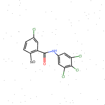 O=Nc1ccc(Cl)cc1C(=O)Nc1cc(Cl)c(Cl)c(Cl)c1